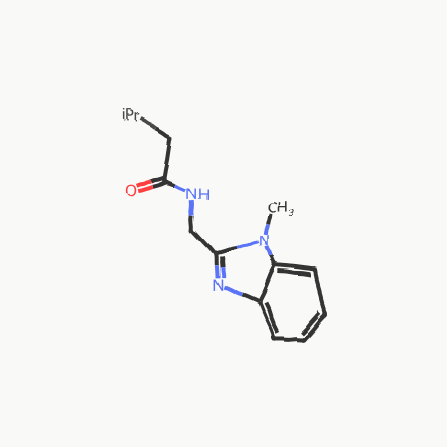 CC(C)CC(=O)NCc1nc2ccccc2n1C